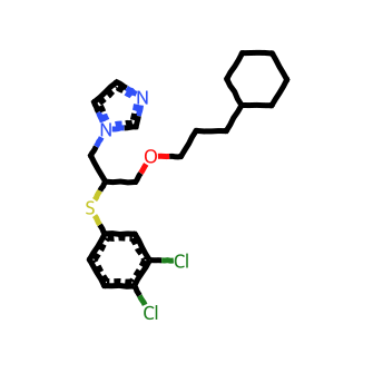 Clc1ccc(SC(COCCCC2CCCCC2)Cn2ccnc2)cc1Cl